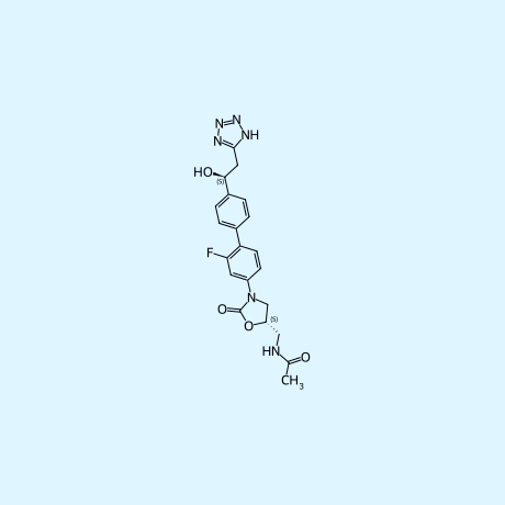 CC(=O)NC[C@H]1CN(c2ccc(-c3ccc([C@@H](O)Cc4nnn[nH]4)cc3)c(F)c2)C(=O)O1